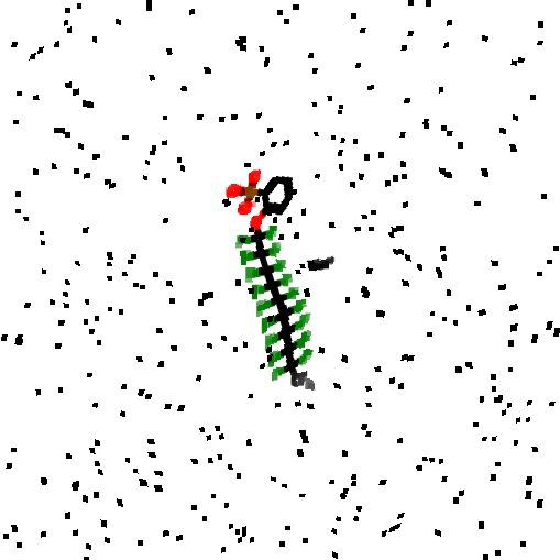 O=S(=O)([O-])c1ccccc1OC(F)(F)C(F)(F)C(F)(F)C(F)(F)C(F)(F)C(F)(F)C(F)(F)C(F)(F)C(F)(F)C(F)(F)F.[Na+]